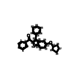 O=C(c1ccccc1)c1sc2ccc(OC3CCCC3)cc2c1-c1ccccc1